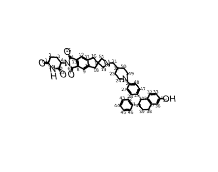 O=C1CCC(N2C(=O)c3cc4c(cc3C2=O)CC2(C4)CN(CC3CCN(c4ccc([C@@H]5c6ccc(O)cc6CC[C@@H]5c5ccccc5)cc4)CC3)C2)C(=O)N1